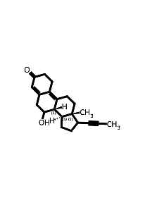 CC#CC1CC[C@H]2[C@H]3C(=C4CCC(=O)C=C4CC3O)CC[C@]12C